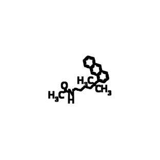 CC(=O)NCCCCC(C)(C)c1cccc2cc3ccccc3cc12